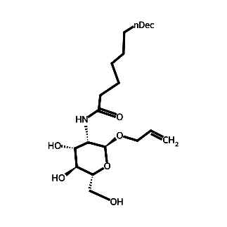 C=CCO[C@H]1O[C@H](CO)[C@@H](O)[C@H](O)[C@@H]1NC(=O)CCCCCCCCCCCCCCC